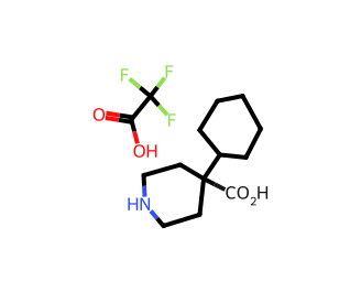 O=C(O)C(F)(F)F.O=C(O)C1(C2CCCCC2)CCNCC1